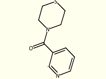 O=C(c1[c]nccc1)N1CCSCC1